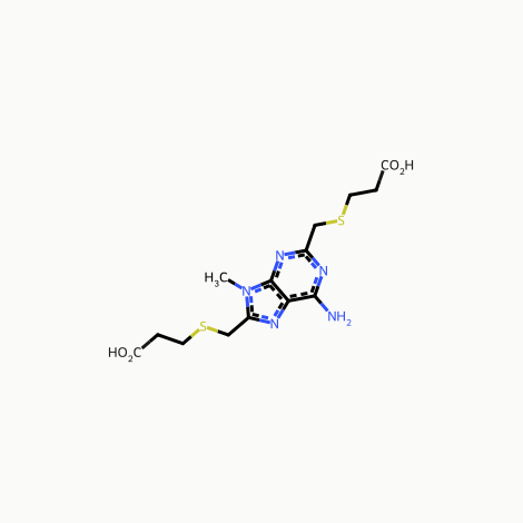 Cn1c(CSCCC(=O)O)nc2c(N)nc(CSCCC(=O)O)nc21